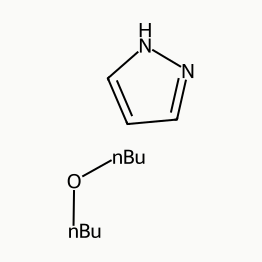 CCCCOCCCC.c1cn[nH]c1